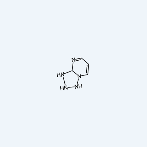 C1=CN2NNNC2N=C1